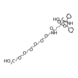 O=C(O)CCOCCOCCOCCOCCOCCOCCNC(=O)CCCC(=O)O[C@@H](C(=O)O)[C@@H](NC(=O)c1ccccc1)c1ccccc1